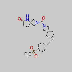 O=C1CCC2(CN(C(=O)N3CC4(CC[C@@H](Cc5ccc(S(=O)(=O)C(F)(F)F)cc5)C4)C3)C2)N1